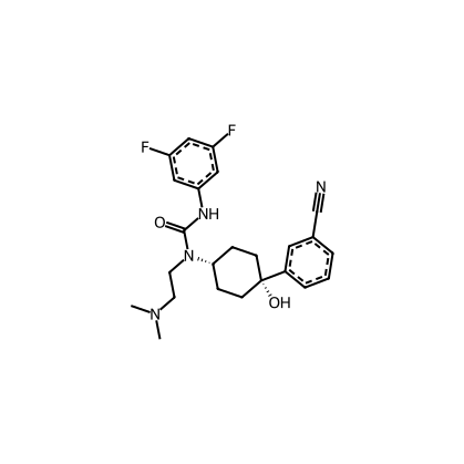 CN(C)CCN(C(=O)Nc1cc(F)cc(F)c1)[C@H]1CC[C@](O)(c2cccc(C#N)c2)CC1